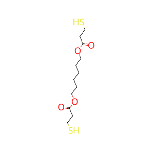 O=C(CCS)OCCCCCCOC(=O)CCS